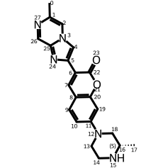 Cc1cn2cc(-c3cc4ccc(N5CCN[C@@H](C)C5)cc4oc3=O)nc2cn1